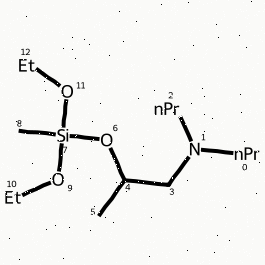 CCCN(CCC)CC(C)O[Si](C)(OCC)OCC